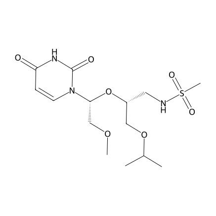 COC[C@@H](O[C@H](CNS(C)(=O)=O)COC(C)C)n1ccc(=O)[nH]c1=O